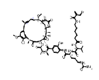 C=C(CBr)C(=O)NCCCCCC(=O)N[C@H](C(=O)N[C@@H](CCCNC(N)=O)C(=O)Nc1ccc(C(=O)N(C)[C@@H](C)C(=O)O[C@H]2CC(=O)N(C)c3cc(cc(OC)c3Cl)C/C(C)=C/C=C/[C@@H](OC)[C@@]3(O)C[C@H](OC(=O)N3)[C@@H](C)[C@@H]3O[C@@]23C)cc1O)C(C)C